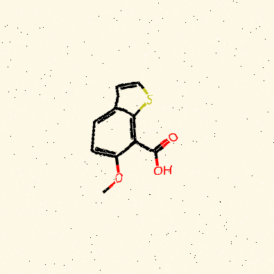 COc1ccc2ccsc2c1C(=O)O